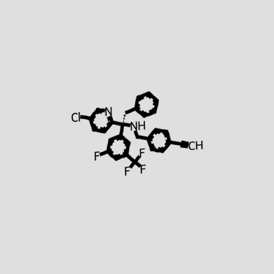 C#Cc1ccc(CN[C@@](Cc2ccccc2)(c2cc(F)cc(C(F)(F)F)c2)c2ccc(Cl)cn2)cc1